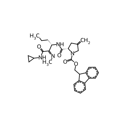 C=C1C[C@@H](C(=O)N[C@@H](CCC)C(=NC)C(=O)NC2CC2)N(C(=O)OCC2c3ccccc3-c3ccccc32)C1